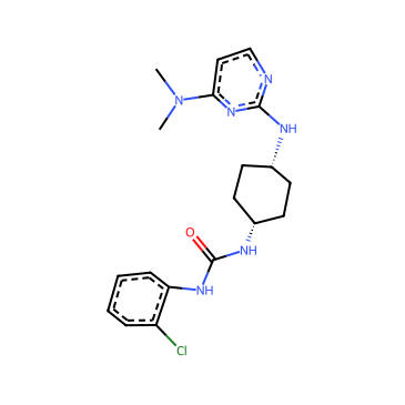 CN(C)c1ccnc(N[C@H]2CC[C@@H](NC(=O)Nc3ccccc3Cl)CC2)n1